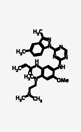 C=CC(=O)Nc1cc(Nc2ncnc(-n3nc(C)c4cc(C)ccc43)n2)c(OC)cc1N(C)CCN(C)C